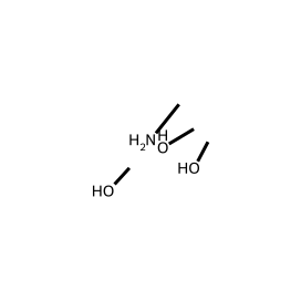 CN.CO.CO.CO